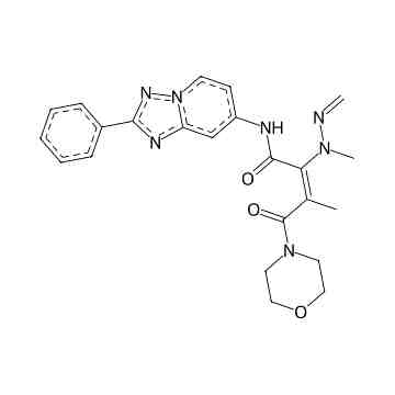 C=NN(C)/C(C(=O)Nc1ccn2nc(-c3ccccc3)nc2c1)=C(\C)C(=O)N1CCOCC1